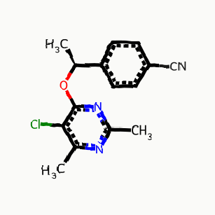 Cc1nc(C)c(Cl)c(O[C@@H](C)c2ccc(C#N)cc2)n1